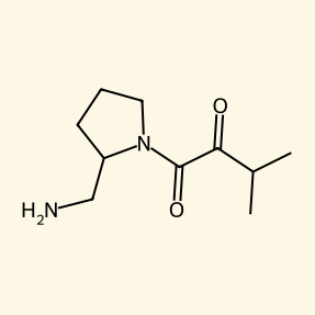 CC(C)C(=O)C(=O)N1CCCC1CN